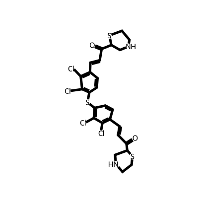 O=C(C=Cc1ccc(Sc2ccc(C=CC(=O)C3CNCCS3)c(Cl)c2Cl)c(Cl)c1Cl)C1CNCCS1